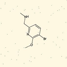 CNCc1ccc(Br)c(OC)n1